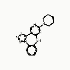 c1ccc2c(c1)Nc1nc(N3CCCCC3)ncc1-c1nnnn1-2